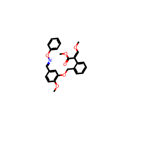 COC=C(C(=O)OC)c1ccccc1COc1cc(C=NOc2ccccc2)ccc1OC